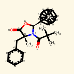 CC(C)(C)C(=O)N1[C@H]([C]23[CH]4[CH]5[CH]6[CH]2[Fe]56432789[CH]3[CH]2[CH]7[CH]8[CH]39)OC(=O)[C@@]1(C)Cc1ccccc1